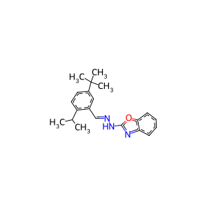 CC(C)c1ccc(C(C)(C)C)cc1/C=N/Nc1nc2ccccc2o1